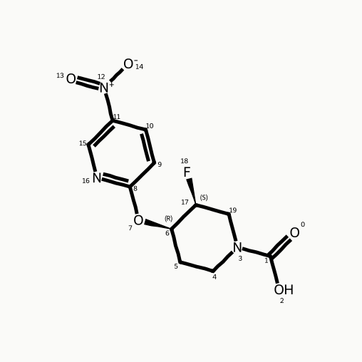 O=C(O)N1CC[C@@H](Oc2ccc([N+](=O)[O-])cn2)[C@@H](F)C1